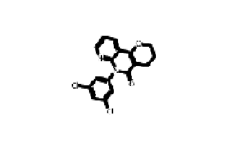 O=c1c2c(c3cccnc3n1-c1cc(Cl)cc(Cl)c1)OCCC2